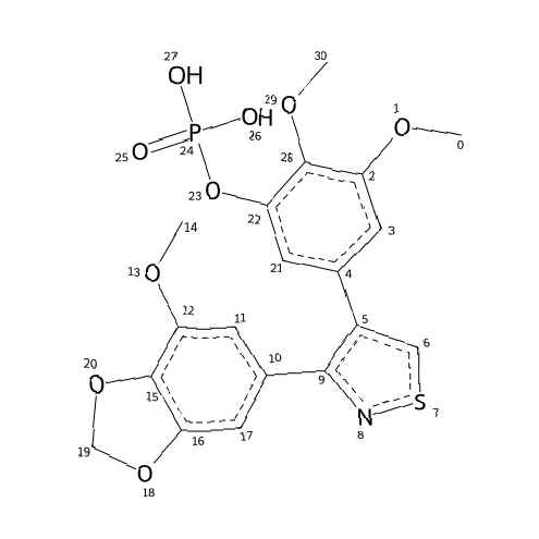 COc1cc(-c2csnc2-c2cc(OC)c3c(c2)OCO3)cc(OP(=O)(O)O)c1OC